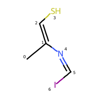 CC(=C/S)/N=C\I